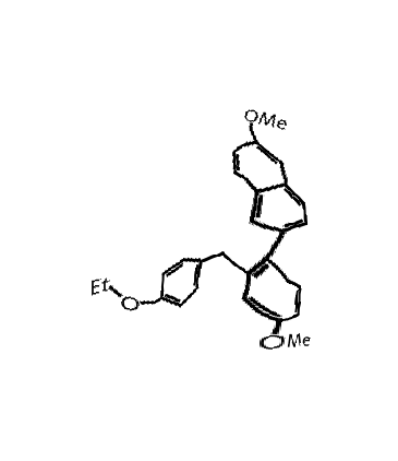 [CH2]COc1ccc(Cc2cc(OC)ccc2-c2ccc3cc(OC)ccc3c2)cc1